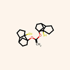 C=C(OC12CCC(C1)C1CCCC12S)OC12CCC(C1)C1CCCC12S